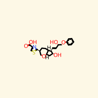 O=C(O)c1csc([C@H]2CC[C@@H]3[C@@H](/C=C/[C@@H](O)COc4ccccc4)[C@H](O)C[C@@H]3OC2)n1